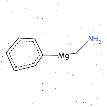 N[CH2][Mg][c]1ccccc1